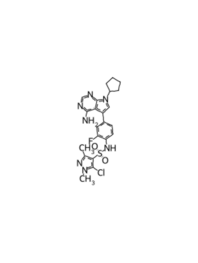 Cc1nn(C)c(Cl)c1S(=O)(=O)Nc1ccc(-c2cn(C3CCCC3)c3ncnc(N)c23)cc1F